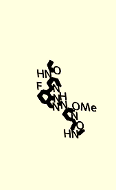 C=CC(=O)Nc1ccnc(-c2c(F)ccc3cnc(Nc4ccc(C5CNCCO5)nc4OC)nc23)c1